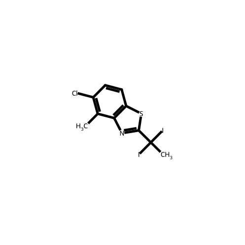 Cc1c(Cl)ccc2sc(C(C)(I)I)nc12